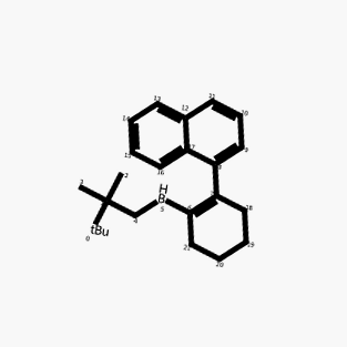 CC(C)(C)C(C)(C)CBC1=C(c2cccc3ccccc23)CCCC1